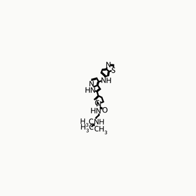 CC(C)(C)NCCNC(=O)N1CC=C(c2cc3c(Nc4ccc5ncsc5c4)ccnc3[nH]2)CC1